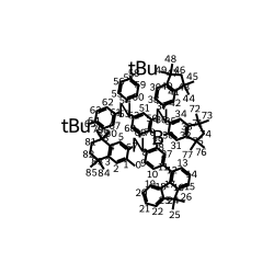 Cc1cc2c(cc1N1c3ccc(-c4cccc5c4-c4ccccc4C5(C)C)cc3B3c4cc5c(cc4N(c4ccc6c(c4)C(C)(C)CC6(C)C)c4cc(N(c6ccc(C(C)(C)C)cc6)c6ccc(C(C)(C)C)cc6)cc1c43)C(C)(C)CC5(C)C)C(C)(C)CCC2(C)C